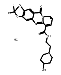 Cl.O=C(NCCN1CCC(O)CC1)c1cccn2c(=O)c3cc4c(cc3nc12)OC(F)(F)O4